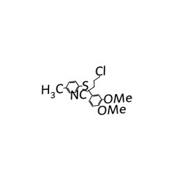 COc1ccc(C(C#N)(CCCCl)Sc2ccc(C)cc2)cc1OC